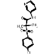 CC(C)(C(=O)Nc1cccnc1)S(=O)(=O)c1ccc(Cl)cc1